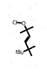 CC(C)(C=CC(C)(C)C(C)(C)C)OCl